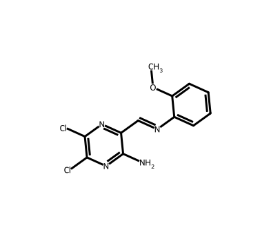 COc1ccccc1/N=C/c1nc(Cl)c(Cl)nc1N